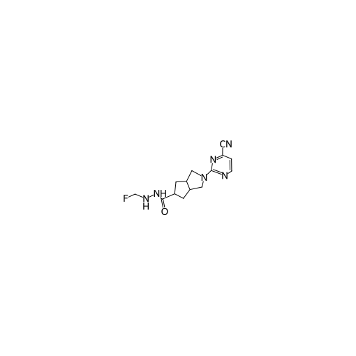 N#Cc1ccnc(N2CC3CC(C(=O)NNCF)CC3C2)n1